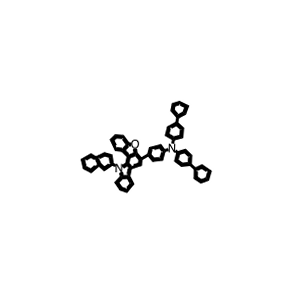 c1ccc(-c2ccc(N(c3ccc(-c4ccccc4)cc3)c3ccc(-c4cc5c6ccccc6n(-c6ccc7ccccc7c6)c5c5c4oc4ccccc45)cc3)cc2)cc1